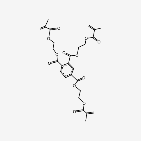 C=C(C)C(=O)OCCOC(=O)c1ccc(C(=O)OCCOC(=O)C(=C)C)c(C(=O)OCCOC(=O)C(=C)C)c1